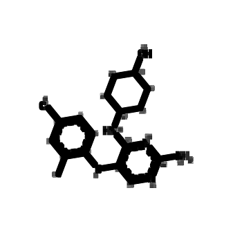 Cc1cc(Cl)ccc1Sc1cnc(N)nc1NC1CCC(O)CC1